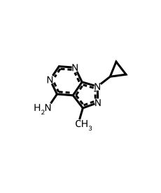 Cc1nn(C2CC2)c2ncnc(N)c12